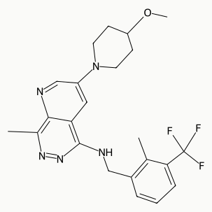 COC1CCN(c2cnc3c(C)nnc(NCc4cccc(C(F)(F)F)c4C)c3c2)CC1